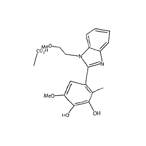 CC(=O)O.COCCn1c(-c2cc(OC)c(O)c(O)c2C)nc2ccccc21